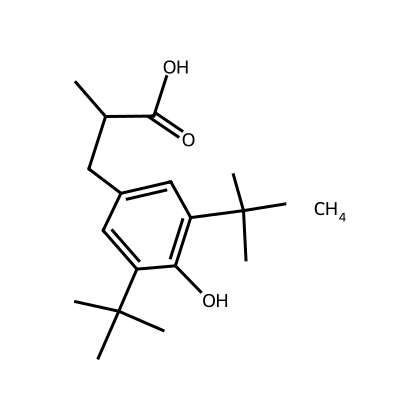 C.CC(Cc1cc(C(C)(C)C)c(O)c(C(C)(C)C)c1)C(=O)O